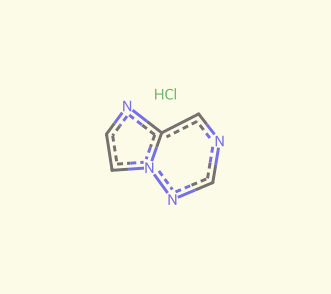 Cl.c1cn2ncncc2n1